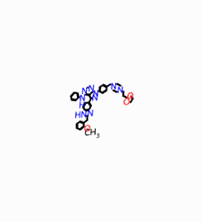 COc1ccccc1Cc1nc2cc(-c3nn(-c4ccc(CN5CCN(CCC6OCCO6)CC5)cc4)c4ncnc(Nc5ccccc5)c34)ccc2[nH]1